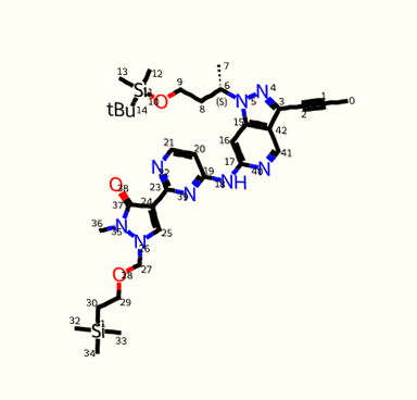 CC#Cc1nn([C@@H](C)CCO[Si](C)(C)C(C)(C)C)c2cc(Nc3ccnc(-c4cn(COCC[Si](C)(C)C)n(C)c4=O)n3)ncc12